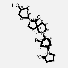 O=C1CCCN1c1ccc(N2CCCC3(CCN(C4CCC(O)CC4)C3=O)C2)c(F)c1